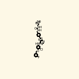 CS(=O)(=O)CCNC(=O)NCc1ccc(-c2nc3c(Nc4ccc(OCc5cccc(F)c5)c(Cl)c4)ncnc3s2)cc1